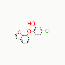 Oc1cc(Cl)ccc1Oc1cccc2ccoc12